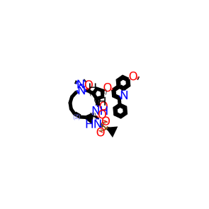 COc1ccc2c(O[C@@H]3C[C@H]4C(=O)N[C@]5(C(=O)NS(=O)(=O)C6CC6)CC5/C=C\CCCCN(N(C)C)C(=O)[C@@H]4C3)cc(-c3ccccc3)nc2c1